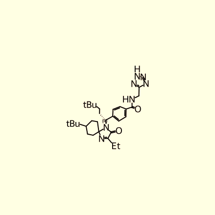 CCC1=NC2(CCC(C(C)(C)C)CC2)N([C@H](CCC(C)(C)C)c2ccc(C(=O)NCc3nn[nH]n3)cc2)C1=O